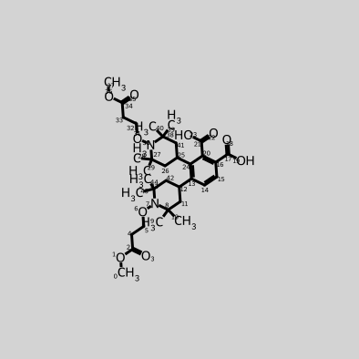 COC(=O)CCON1C(C)(C)CC(c2ccc(C(=O)O)c(C(=O)O)c2C2CC(C)(C)N(OCCC(=O)OC)C(C)(C)C2)CC1(C)C